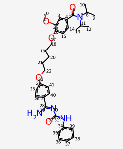 COc1cc(C(=O)N(C(C)C)C(C)C)ccc1OCCCCCOc1ccc(C(N)=NC(=O)Nc2ccccc2)cc1